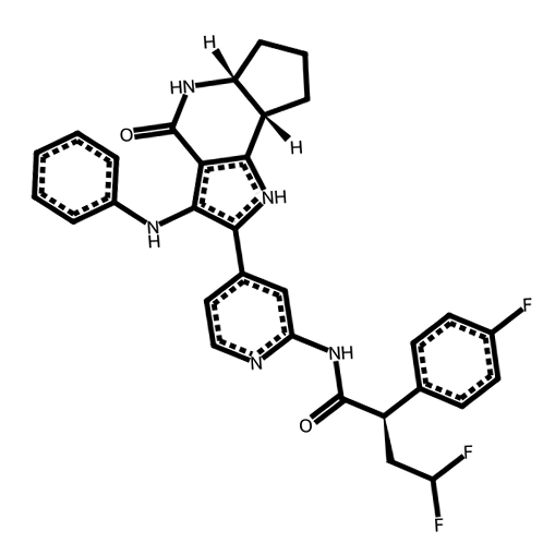 O=C1N[C@@H]2CCC[C@@H]2c2[nH]c(-c3ccnc(NC(=O)[C@H](CC(F)F)c4ccc(F)cc4)c3)c(Nc3ccccc3)c21